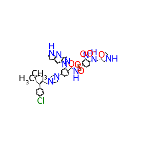 CC1(C)CCC(CN2CCN(c3ccc(C(=O)NS(=O)(=O)c4ccc(NC[C@H]5CNCCO5)c([N+](=O)[O-])c4)c(-n4ncc5nc6[nH]ccc6cc54)c3)CC2)=C(c2ccc(Cl)cc2)C1